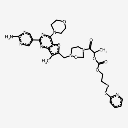 Cc1c(CN2CCN(C(=O)C(C)OC(=O)OCCSSc3ccccn3)CC2)sc2c(N3CCOCC3)nc(-c3cnc(N)nc3)nc12